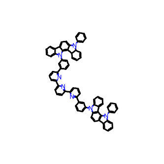 C1=CC2c3c(ccc4c5ccccc5n(-c5cccc(-c6cccc(-c7cccc(-c8cccc(-c9cccc(-n%10c%11ccccc%11c%11c%10ccc%10c%12ccccc%12n(-c%12ccccc%12)c%10%11)c9)n8)n7)n6)c5)c34)N(c3ccccc3)C2C=C1